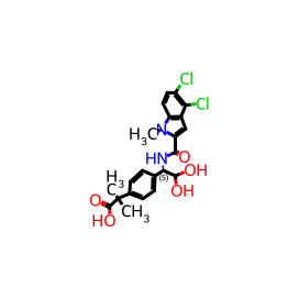 Cn1c(C(=O)N[C@@H](c2ccc(C(C)(C)C(=O)O)cc2)C(O)O)cc2c(Cl)c(Cl)ccc21